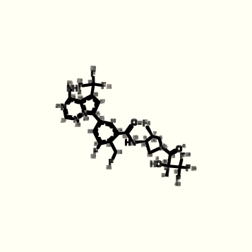 C[C@@](O)(C(=O)N1C[C@H](F)[C@H](NC(=O)c2cc(-c3cc(C(F)(F)F)c4c(N)ncnn34)cc(F)c2CF)C1)C(F)(F)F